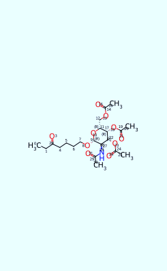 CCC(=O)CCCCO[C@@H]1O[C@H](COC(C)=O)[C@H](OC(C)=O)[C@H](OC(C)=O)[C@H]1NC(C)=O